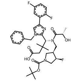 C[C@H](O)C(=O)N(C[C@@H]1CN(C(=O)OC(C)(C)C)C[C@@H]1F)[C@@H](c1nc(-c2cc(F)ccc2F)cn1Cc1ccccc1)C(C)(C)CC(=O)O